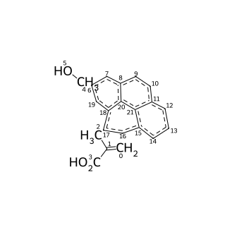 C=C(C)C(=O)O.CO.c1cc2ccc3cccc4ccc(c1)c2c34